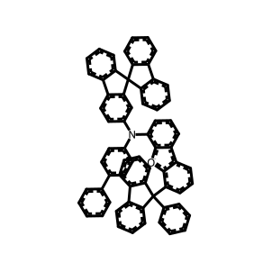 c1ccc(-c2ccc(N(c3ccc4c(c3)C3(c5ccccc5-c5ccccc53)c3ccccc3-4)c3cccc4c3oc3c(C5(c6ccccc6)c6ccccc6-c6ccccc65)cccc34)cc2)cc1